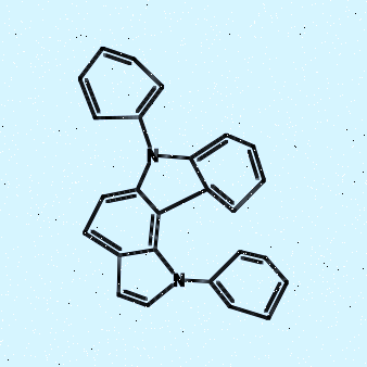 c1ccc(-n2ccc3ccc4c(c5ccccc5n4-c4ccccc4)c32)cc1